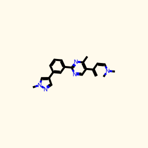 C=C(/C=C\N(C)C)c1cnc(-c2cccc(-c3cnn(C)c3)c2)nc1C